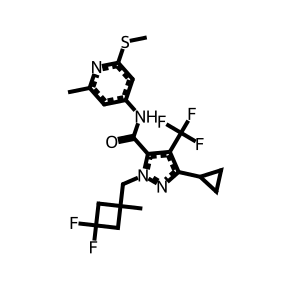 CSc1cc(NC(=O)c2c(C(F)(F)F)c(C3CC3)nn2CC2(C)CC(F)(F)C2)cc(C)n1